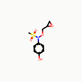 CS(=O)(=O)N(OCC1CO1)c1ccc(O)cc1